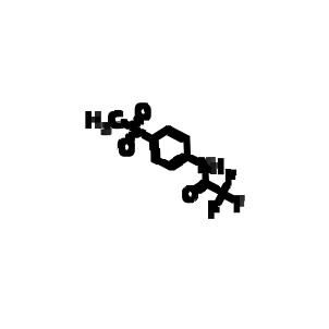 CS(=O)(=O)c1ccc(NC(=O)C(F)(F)F)cc1